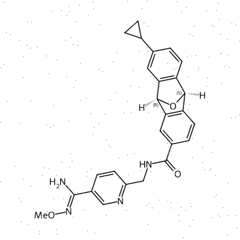 CON=C(N)c1ccc(CNC(=O)c2ccc3c(c2)[C@@H]2O[C@H]3c3ccc(C4CC4)cc32)nc1